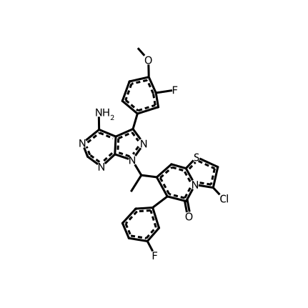 COc1ccc(-c2nn(C(C)c3cc4scc(Cl)n4c(=O)c3-c3cccc(F)c3)c3ncnc(N)c23)cc1F